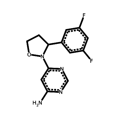 Nc1cc(N2OCCC2c2cc(F)cc(F)c2)ncn1